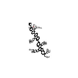 CCCCC(CC)CC1(CC(CC)CCCC)c2cc(-c3ccc4c(c3)C(CC(C)CC)(CC(C)CC)c3cc(-c5ccc6c(c5)C(CC(C)CC)(CC(C)CC)c5c-6c6c(c7c5=CC5=CC(CC(C)CC)(CC(C)CC)C=CC=75)C=C5C=CC(CC(C)CC)(CC(C)CC)C=C56)ccc3-4)ccc2-c2ccc(-c3cccs3)cc21